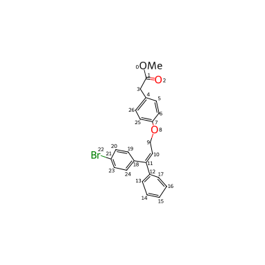 COC(=O)Cc1ccc(OCC=C(c2ccccc2)c2ccc(Br)cc2)cc1